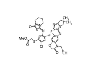 C#CCN1C(=O)COc2cc(F)c(/N=c3\snc4n3CC(C)(C)C4)cc21.COC(=O)CSc1cc(/N=c2\sc(=O)n3n2CCCC3)c(F)cc1Cl